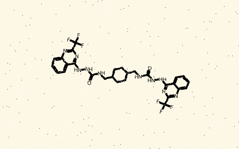 O=C(NCC1CCC(CNC(=O)NNc2nc(C(F)(F)F)nc3ccccc23)CC1)NNc1nc(C(F)(F)F)nc2ccccc12